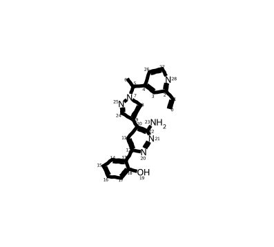 C=Cc1cc(C(C)n2cc(-c3cc(-c4ccccc4O)nnc3N)cn2)ccn1